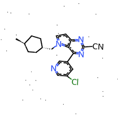 C[C@H]1CC[C@H](Cn2ccc3nc(C#N)nc(-c4cncc(Cl)c4)c32)CC1